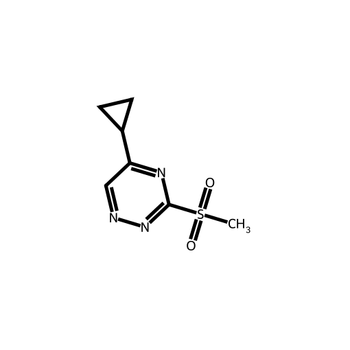 CS(=O)(=O)c1nncc(C2CC2)n1